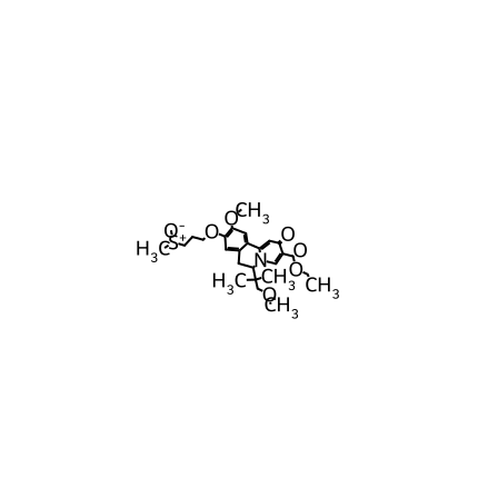 CCOC(=O)c1cn2c(cc1=O)-c1cc(OC)c(OCCC[S+](C)[O-])cc1CC2C(C)(C)COC